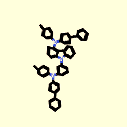 Cc1ccc(N(c2ccc(-c3ccccc3)cc2)c2cccc(-n3c4ccccc4c4c(N(c5ccc(C)cc5)c5ccc(-c6ccccc6)cc5)cccc43)c2)cc1